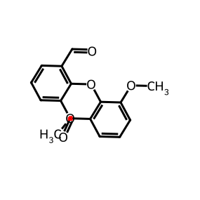 COc1cccc(C=O)c1Oc1c(C=O)cccc1OC